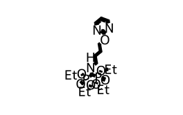 CCOP(=O)(OCC)C(NCCCCOc1ncccn1)P(=O)(OCC)OCC